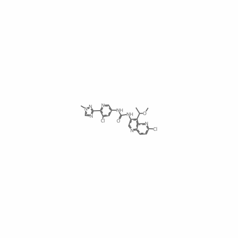 COC(C)c1c(NC(=O)Nc2cnc(-c3ncn(C)n3)c(Cl)c2)cnc2ccc(Cl)nc12